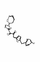 O=C(Cc1ccc(Cc2ccc(F)cc2)o1)C(=O)c1ncn(C2CCCCO2)n1